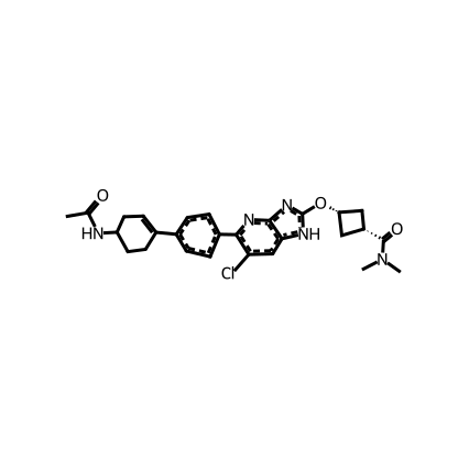 CC(=O)NC1CC=C(c2ccc(-c3nc4nc(O[C@H]5C[C@@H](C(=O)N(C)C)C5)[nH]c4cc3Cl)cc2)CC1